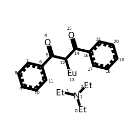 CCN(CC)CC.O=C(c1ccccc1)[CH]([Eu])C(=O)c1ccccc1